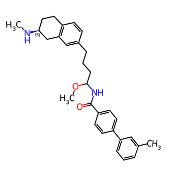 CN[C@H]1CCc2ccc(CCCC(NC(=O)c3ccc(-c4cccc(C)c4)cc3)OC)cc2C1